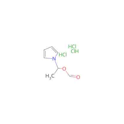 CC(OC=O)n1cccc1.Cl.Cl.Cl